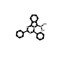 OB(O)c1c2ccccc2c2nc(-c3ccccc3)nc(-c3ccccc3)n12